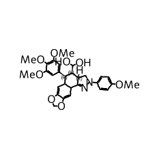 COc1ccc(N2C[C@@H]3C(=N2)C2C=C4OCOC4=CC2[C@@H](c2cc(OC)c(OC)c(OC)c2)[C@H]3C(O)O)cc1